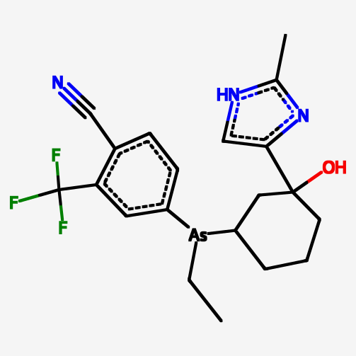 CC[As](c1ccc(C#N)c(C(F)(F)F)c1)C1CCCC(O)(c2c[nH]c(C)n2)C1